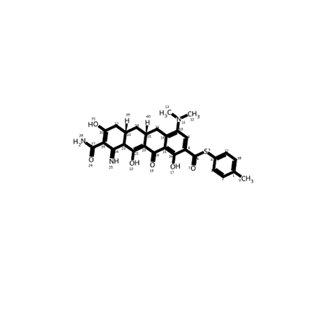 Cc1ccc(SC(=O)c2cc(N(C)C)c3c(c2O)C(=O)C2=C(O)C4C(=N)C(C(N)=O)=C(O)C[C@@H]4C[C@@H]2C3)cc1